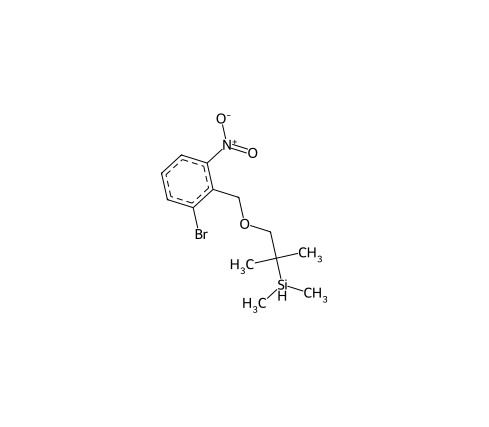 C[SiH](C)C(C)(C)COCc1c(Br)cccc1[N+](=O)[O-]